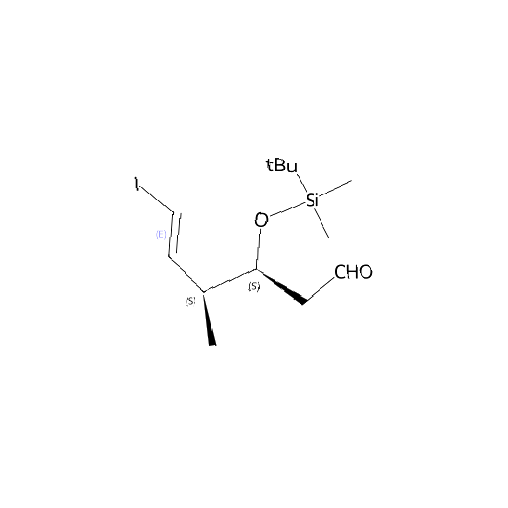 C[C@@H](/C=C/I)[C@H](CC=O)O[Si](C)(C)C(C)(C)C